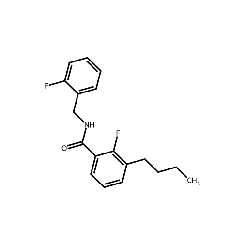 CCCCc1cccc(C(=O)NCc2ccccc2F)c1F